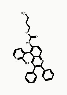 CCCCNC(=O)Nc1ccc2nc(-c3ccccc3)c(-c3ccccc3)cc2c1-c1cccnc1O